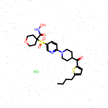 CCCCc1ccc(C(=O)C2CCN(c3ccc(S(=O)(=O)C4(C(=O)NO)CCOCC4)cn3)CC2)s1.Cl